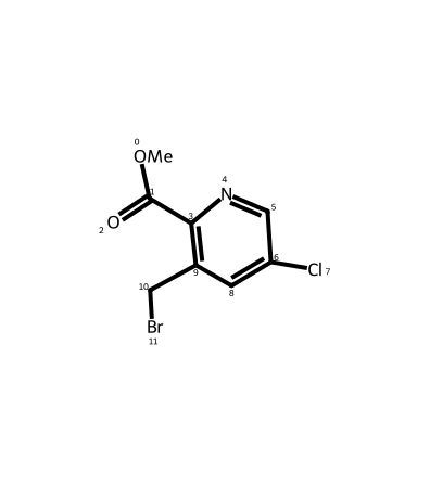 COC(=O)c1ncc(Cl)cc1CBr